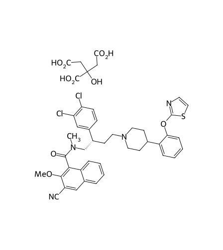 COc1c(C#N)cc2ccccc2c1C(=O)N(C)C[C@@H](CCN1CCC(c2ccccc2Oc2nccs2)CC1)c1ccc(Cl)c(Cl)c1.O=C(O)CC(O)(CC(=O)O)C(=O)O